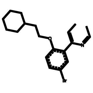 C/C=N\C(=C/C)c1cc(Br)ccc1OCCC1CCCCC1